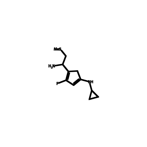 CSCC(N)C1=C(F)C=C(NC2CC2)C1